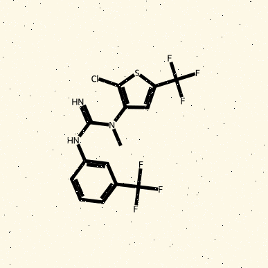 CN(C(=N)Nc1cccc(C(F)(F)F)c1)c1cc(C(F)(F)F)sc1Cl